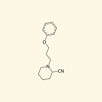 N#CC1CCCCN1CCCOc1ccccc1